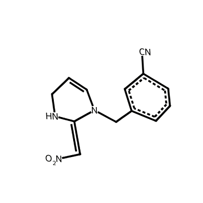 N#Cc1cccc(CN2C=CCNC2=C[N+](=O)[O-])c1